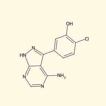 Nc1ncnc2[nH]nc(-c3ccc(Cl)c(O)c3)c12